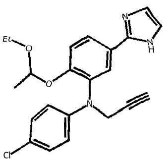 C#CCN(c1ccc(Cl)cc1)c1cc(-c2ncc[nH]2)ccc1OC(C)OCC